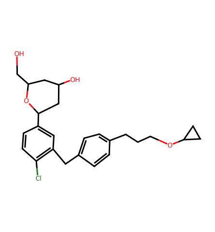 OCC1CC(O)CC(c2ccc(Cl)c(Cc3ccc(CCCOC4CC4)cc3)c2)O1